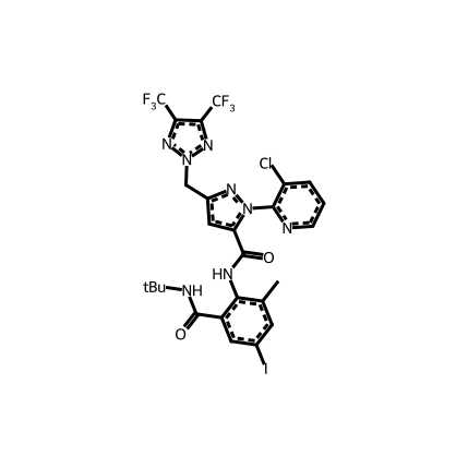 Cc1cc(I)cc(C(=O)NC(C)(C)C)c1NC(=O)c1cc(Cn2nc(C(F)(F)F)c(C(F)(F)F)n2)nn1-c1ncccc1Cl